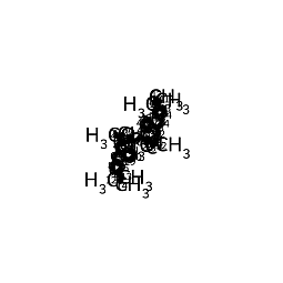 CN(C)C(CC(Cc1ccc(C(C)(C)C)cc1)c1ccccc1)OC(=O)CCC(=O)OC(CC(Cc1ccc(C(C)(C)C)cc1)c1ccccc1)N(C)C